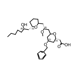 CCCCC[C@@H](O)C[C@@H]1CCCC(C[C@H](CC2C[C@H](OCc3ccccc3)C[C@@H](CC(=O)O)O2)OC)O1